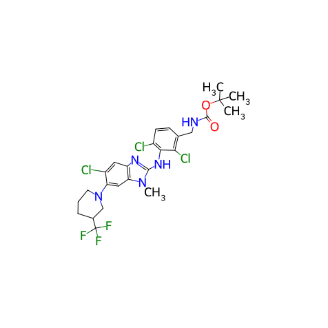 Cn1c(Nc2c(Cl)ccc(CNC(=O)OC(C)(C)C)c2Cl)nc2cc(Cl)c(N3CCCC(C(F)(F)F)C3)cc21